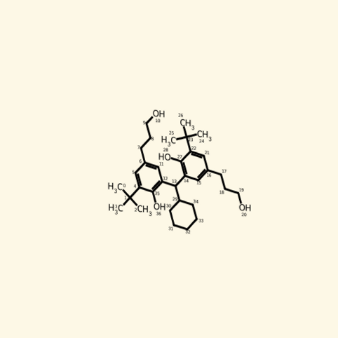 CC(C)(C)c1cc(CCCO)cc(C(c2cc(CCCO)cc(C(C)(C)C)c2O)C2CCCCC2)c1O